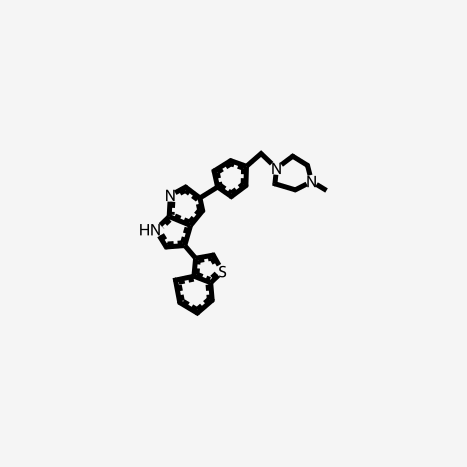 CN1CCN(Cc2ccc(-c3cnc4[nH]cc(-c5csc6ccccc56)c4c3)cc2)CC1